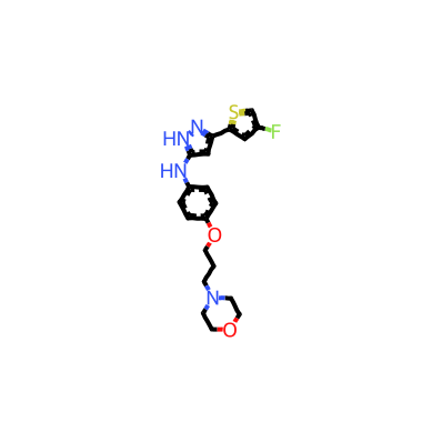 Fc1csc(-c2cc(Nc3ccc(OCCCN4CCOCC4)cc3)[nH]n2)c1